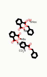 CCCCCCCCOC(=O)c1ccccc1C(=O)OCCCC.CCCCCCO.CCCCOC(=O)c1ccccc1C(=O)OCc1ccccc1.O=C(O)c1ccccc1C(=O)OCc1ccccc1